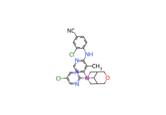 Cc1c(OC2C3COCC2CN(c2ncc(Cl)cn2)C3)ccnc1Nc1ccc(C#N)cc1Cl